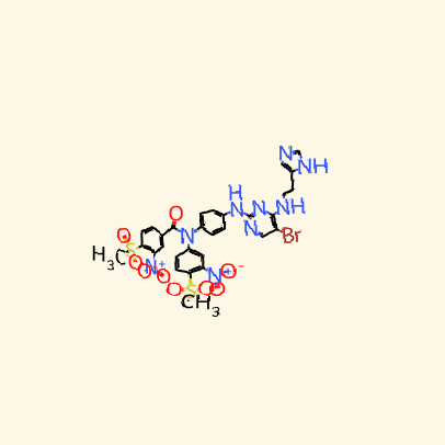 CS(=O)(=O)c1ccc(C(=O)N(c2ccc(Nc3ncc(Br)c(NCCc4cnc[nH]4)n3)cc2)c2ccc(S(C)(=O)=O)c([N+](=O)[O-])c2)cc1[N+](=O)[O-]